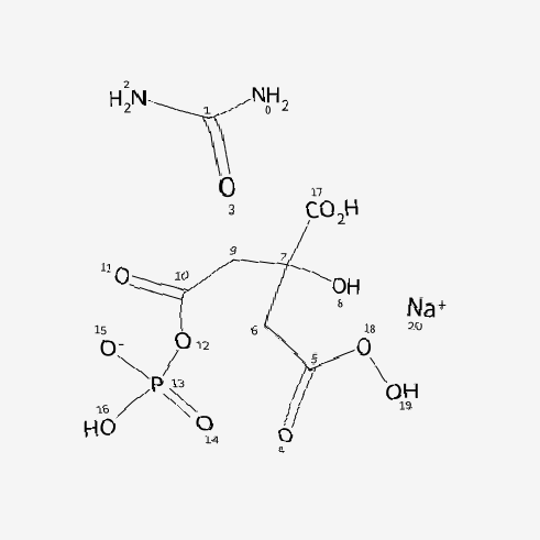 NC(N)=O.O=C(CC(O)(CC(=O)OP(=O)([O-])O)C(=O)O)OO.[Na+]